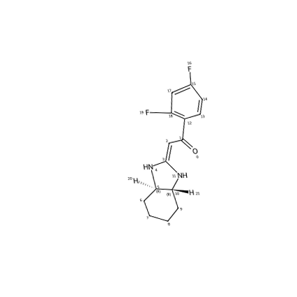 O=C(C=C1N[C@@H]2CCCC[C@H]2N1)c1ccc(F)cc1F